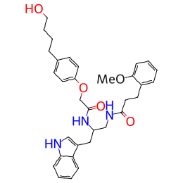 COc1ccccc1CCC(=O)NCC(Cc1c[nH]c2ccccc12)NC(=O)COc1ccc(CCCCO)cc1